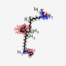 CNC(=NC(C)=O)NCCCC=CCC(C)C=CCCCC(C)C=C(C)C(OC1OC(C(=O)O)C(O)C(O)C1O)C(C)C=CC=CC=CC=CC=C(C)C(=O)NC1=C(O)CCC1=O